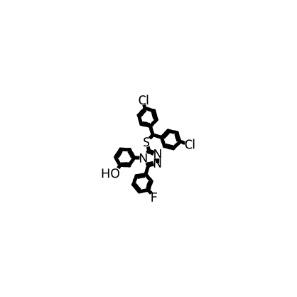 Oc1cccc(-n2c(SC(c3ccc(Cl)cc3)c3ccc(Cl)cc3)nnc2-c2cccc(F)c2)c1